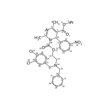 CC1=NC(C)=C(C(=O)OC(C)C)C(c2cccc([N+](=O)[O-])c2)N1C(=O)OCCN(Cc1ccccc1)Cc1ccc(Cl)c(Cl)c1